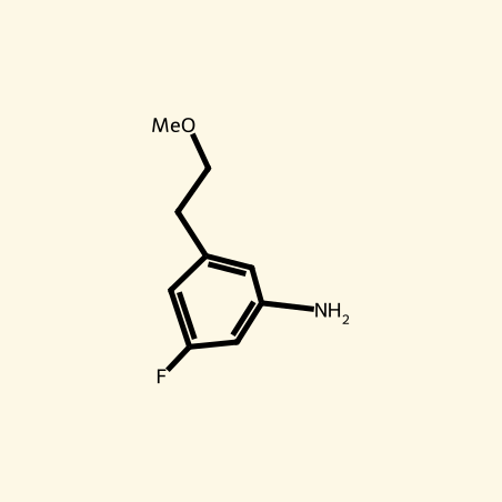 COCCc1cc(N)cc(F)c1